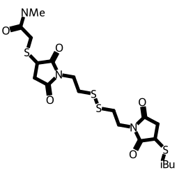 CCC(C)SC1CC(=O)N(CCSSCCN2C(=O)CC(SCC(=O)NC)C2=O)C1=O